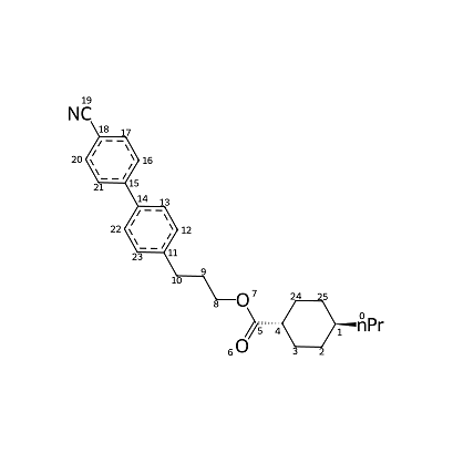 CCC[C@H]1CC[C@H](C(=O)OCCCc2ccc(-c3ccc(C#N)cc3)cc2)CC1